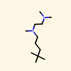 CN(C)CCN(C)CCCC(C)(C)C